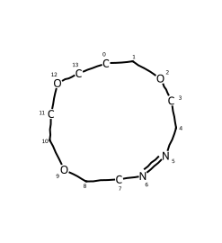 C1COCC/N=N\CCOCCOC1